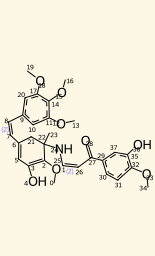 COC1=C(O)C=C(/C=C\c2cc(OC)c(OC)c(OC)c2)CC1(C)N/C=C\C(=O)c1ccc(OC)c(O)c1